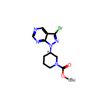 CC(C)(C)OC(=O)N1CCC[C@@H](n2nc(Br)c3cncnc32)C1